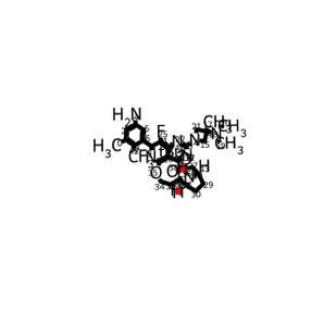 Cc1cc(N)cc(-c2nc3c4c(nc(N5CC(C)(N(C)C)C5)nc4c2F)N2C[C@H]4CC[C@@H]([C@H]2CCO3)N4C(=O)OC(C)(C)C)c1C(F)(F)F